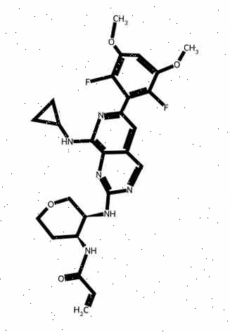 C=CC(=O)N[C@H]1CCOC[C@H]1Nc1ncc2cc(-c3c(F)c(OC)cc(OC)c3F)nc(NC3CC3)c2n1